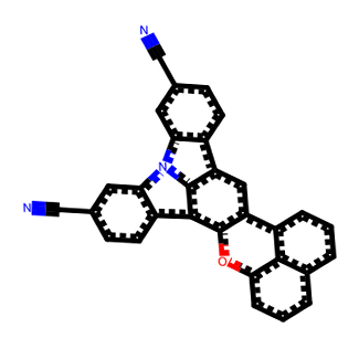 N#Cc1ccc2c3cc4c5cccc6cccc(oc4c4c7ccc(C#N)cc7n(c2c1)c34)c65